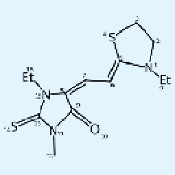 CCN1CCS/C1=C\C=C1/C(=O)N(C)C(=S)N1CC